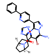 Nc1c(Br)c(C2C[C@H]3CC[C@@H](C2)N3C(=O)c2nc[nH]n2)nc2c(-c3ccc(-c4ccccc4)nc3)cnn12